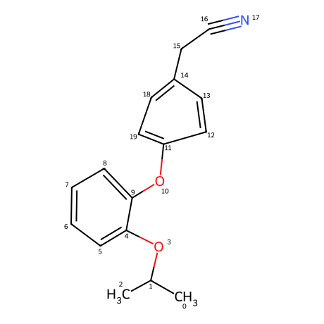 CC(C)Oc1ccccc1Oc1ccc(CC#N)cc1